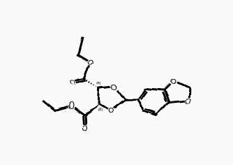 CCOC(=O)[C@@H]1OC(c2ccc3c(c2)OCO3)O[C@H]1C(=O)OCC